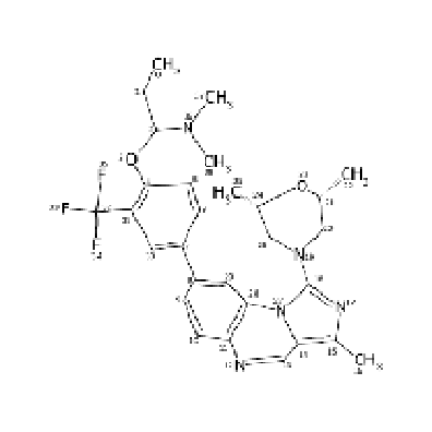 CCC(Oc1ccc(-c2ccc3ncc4c(C)nc(N5C[C@@H](C)O[C@@H](C)C5)n4c3c2)cc1C(F)(F)F)N(C)C